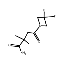 CC(C)([CH]C(=O)N1CC(F)(F)C1)C(N)=O